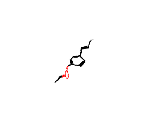 [CH2]C=Cc1ccc(OCC)cc1